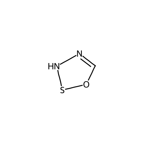 C1=NNSO1